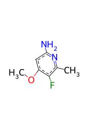 COc1cc(N)nc(C)c1F